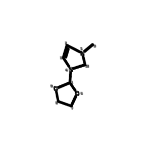 CN1C=CN(C2OCCO2)C1